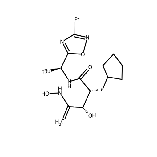 C=C(NO)[C@@H](O)[C@@H](CC1CCCC1)C(=O)N[C@H](c1nc(C(C)C)no1)C(C)(C)C